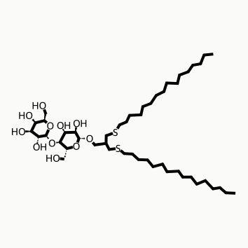 CCCCCCCCCCCCCCCCSCC(CO[C@@H]1O[C@H](CO)[C@H](O[C@H]2O[C@H](CO)[C@H](O)[C@H](O)[C@H]2O)[C@H](O)[C@H]1O)CSCCCCCCCCCCCCCCCC